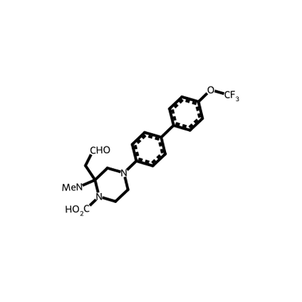 CNC1(CC=O)CN(c2ccc(-c3ccc(OC(F)(F)F)cc3)cc2)CCN1C(=O)O